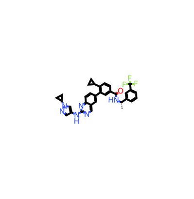 C[C@H](NC(=O)c1ccc(C2CC2)c(-c2ccc3nc(Nc4cnn(C5CC5)c4)ncc3c2)c1)c1cccc(C(F)(F)F)c1